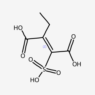 CC/C(C(=O)O)=C(\C(=O)O)S(=O)(=O)O